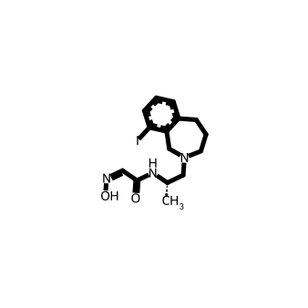 C[C@@H](CN1CCCc2cccc(I)c2C1)NC(=O)/C=N\O